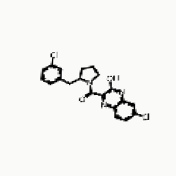 O=C(c1nc2ccc(Cl)cc2nc1O)N1CCCC1Cc1cccc(Cl)c1